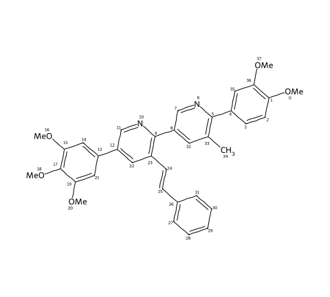 COc1ccc(-c2ncc(-c3ncc(-c4cc(OC)c(OC)c(OC)c4)cc3C=Cc3ccccc3)cc2C)cc1OC